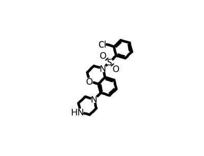 O=S(=O)(c1ccccc1Cl)N1CCOc2c(N3CCNCC3)cccc21